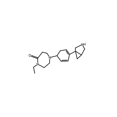 CCN1CCN(C2C=CC(C34CNCC3C4)=CC2)CCC1=O